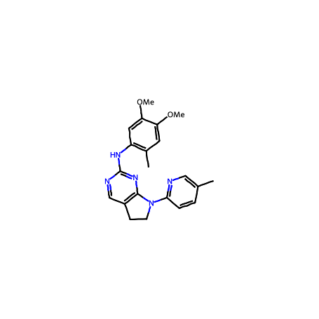 COc1cc(C)c(Nc2ncc3c(n2)N(c2ccc(C)cn2)CC3)cc1OC